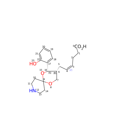 O=C(O)CC/C=C\C[C@@H]1COC2(CCNCC2)O[C@@H]1c1ccccc1O